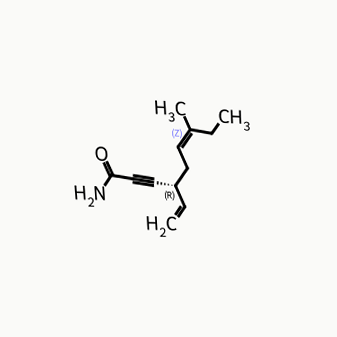 C=C[C@H](C#CC(N)=O)C/C=C(/C)CC